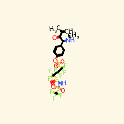 C=C(C)C(=O)C(NC)C1C=CC(OS(=O)(=O)C(F)(F)C(F)(F)C(F)(F)S(=O)(=O)NS(=O)(=O)C(F)(F)F)=CC1